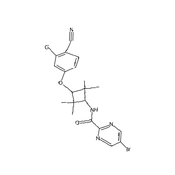 CC1(C)C(NC(=O)c2ncc(Br)cn2)C(C)(C)C1Oc1ccc(C#N)c(Cl)c1